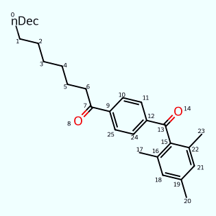 CCCCCCCCCCCCCCCCC(=O)c1ccc(C(=O)c2c(C)cc(C)cc2C)cc1